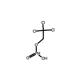 O=[PH](O)OCC(Cl)(Cl)Cl